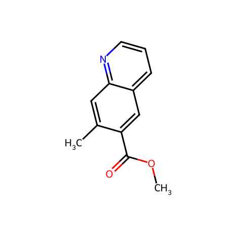 COC(=O)c1cc2cccnc2cc1C